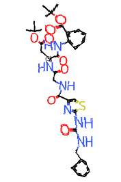 CC(C)(C)OC(=O)C[C@H](NC(=O)CNC(=O)c1csc(NC(=O)NCc2ccccc2)n1)C(=O)Nc1ccccc1C(=O)OC(C)(C)C